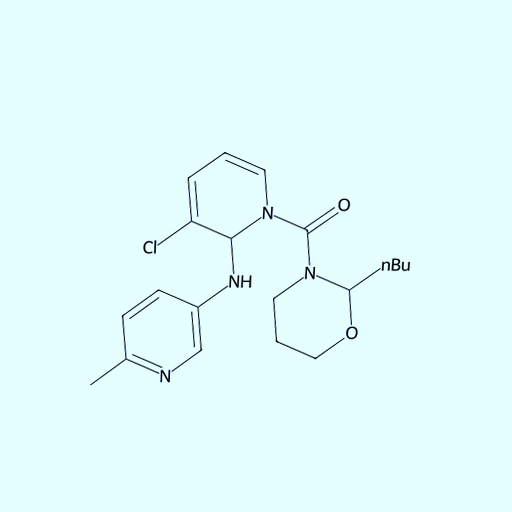 CCCCC1OCCCN1C(=O)N1C=CC=C(Cl)C1Nc1ccc(C)nc1